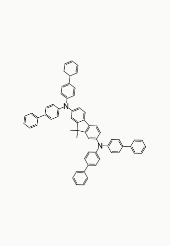 CC1(C)c2cc(N(c3ccc(-c4ccccc4)cc3)c3ccc(-c4ccccc4)cc3)ccc2-c2ccc(N(c3ccc(-c4ccccc4)cc3)c3ccc(C4C=CC=CC4)cc3)cc21